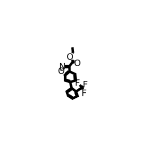 CCOC(=O)c1noc2cc(-c3ccccc3C(F)(F)F)ccc12